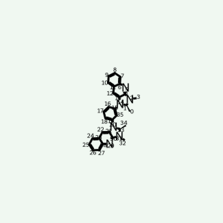 C[C@@H]1N(C)c2nc3ccccc3cc2N1c1cccc(N2c3cc4ccccc4nc3N(C)[C@@H]2C)c1